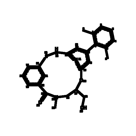 Cc1cccc(C)c1-c1cc2nc(n1)NSc1cccc(c1)C(=O)N(C)CC(CO)O2